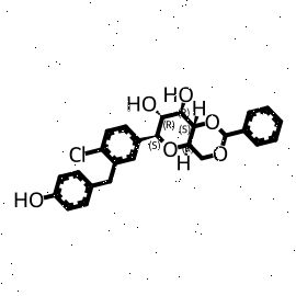 Oc1ccc(Cc2cc([C@@H]3O[C@@H]4COC(c5ccccc5)O[C@H]4[C@H](O)[C@H]3O)ccc2Cl)cc1